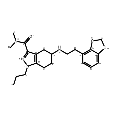 CCCn1nc(C(=O)N(C)C)c2c1CCC(NCCc1cccc3c1OCO3)C2